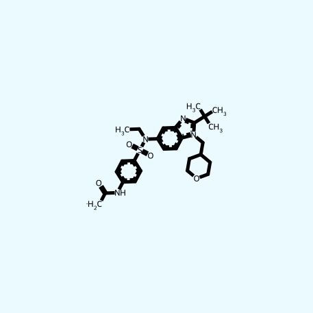 [CH2]C(=O)Nc1ccc(S(=O)(=O)N(CC)c2ccc3c(c2)nc(C(C)(C)C)n3CC2CCOCC2)cc1